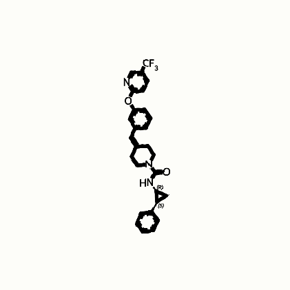 O=C(N[C@@H]1C[C@H]1c1ccccc1)N1CCC(=Cc2cccc(Oc3ccc(C(F)(F)F)cn3)c2)CC1